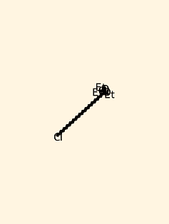 CCO[Si](CCCCCCCCCCCCCCCCCCCCCCCCCCCCCCCl)(OCC)OCC